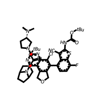 CN(C)[C@H]1CCN(c2nc(N3C4CCC3CN(C(=O)OC(C)(C)C)C4)c3c4c(c(-c5ccc(F)c6sc(NC(=O)OC(C)(C)C)c(C#N)c56)c(Cl)c3n2)COC4)C1